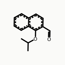 CC(C)Oc1c(C=O)ccc2ccccc12